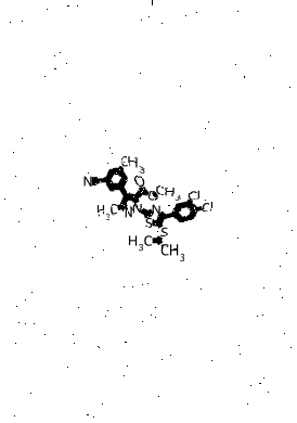 COC(=O)c1c(-c2cc(C)cc(C#N)c2)c(C)nn1-c1nc(-c2ccc(Cl)c(Cl)c2)c(SC(C)C)s1